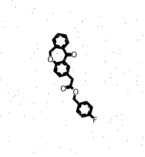 O=C(Cc1ccc2c(c1)C(=O)c1ccccc1CO2)OCc1ccc(F)cc1